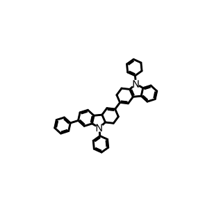 C1=CCCC(n2c3c(c4ccccc42)C=C(C2=CC4c5ccc(-c6ccccc6)cc5N(c5ccccc5)C4CC2)CC3)=C1